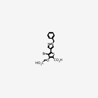 O=C(O)COc1c(C(=O)O)sc(-c2cnn(Cc3ccccc3)c2)c1Br